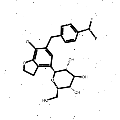 OC[C@H]1O[C@@H](c2cc(Cc3ccc(C(F)F)cc3)c(Cl)c3c2CCO3)[C@H](O)[C@@H](O)[C@@H]1O